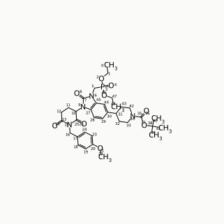 CCOP(=O)(Cn1c(=O)n(C2CCC(=O)N(Cc3ccc(OC)cc3)C2=O)c2ccc(C3CCN(C(=O)OC(C)(C)C)CC3)cc21)OCC